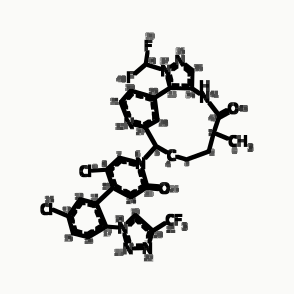 CC1CCCC(n2cc(Cl)c(-c3cc(Cl)ccc3-n3cc(C(F)(F)F)nn3)cc2=O)c2cc(ccn2)-c2c(cnn2C(F)F)NC1=O